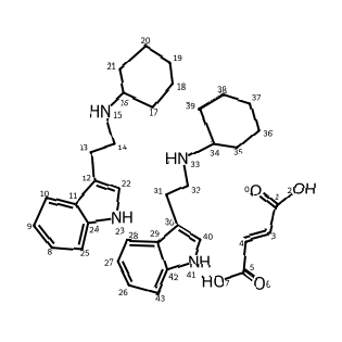 O=C(O)/C=C/C(=O)O.c1ccc2c(CCNC3CCCCC3)c[nH]c2c1.c1ccc2c(CCNC3CCCCC3)c[nH]c2c1